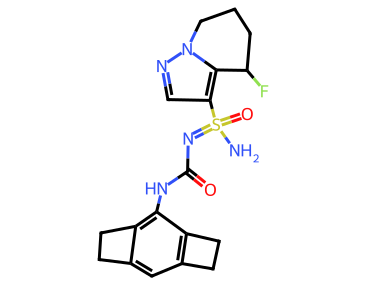 NS(=O)(=NC(=O)Nc1c2c(cc3c1CC3)CC2)c1cnn2c1C(F)CCC2